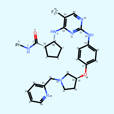 CC(C)NC(=O)[C@H]1CCC[C@H]1Nc1nc(Nc2ccc(O[C@H]3CCN(Cc4ccccn4)C3)cc2)ncc1C(F)(F)F